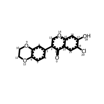 O=c1c(-c2ccc3c(c2)OCCO3)coc2cc(O)c(Cl)cc12